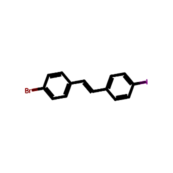 Brc1ccc(/C=C/c2ccc(I)cc2)cc1